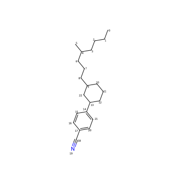 CCCCC(C)CCCC1CCCC(c2ccc(C#N)cc2)C1